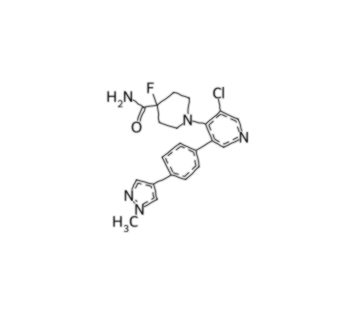 Cn1cc(-c2ccc(-c3cncc(Cl)c3N3CCC(F)(C(N)=O)CC3)cc2)cn1